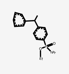 CCCP(=O)(OCC)c1ccc(C(C)c2ccccc2)cc1